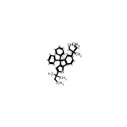 CCC(C)(C)c1cc2c(s1)-c1ccc(C(C)(CC)CC)cc1C2(c1ccccc1)c1ccccc1